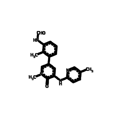 Cc1ccc(Nc2cc(-c3cccc(NC=O)c3C)cn(C)c2=O)nc1